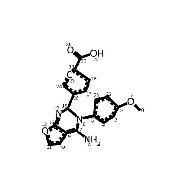 COc1ccc(N2C(N)=c3ccoc3=NC2c2ccc(C(=O)O)cc2)cc1